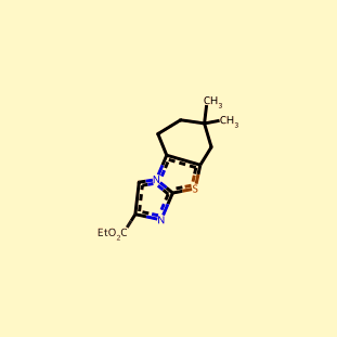 CCOC(=O)c1cn2c3c(sc2n1)CC(C)(C)CC3